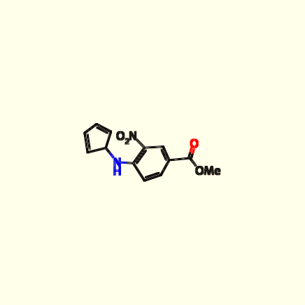 COC(=O)c1ccc(NC2C=CC=C2)c([N+](=O)[O-])c1